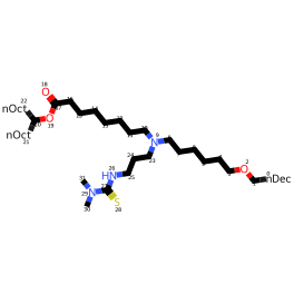 CCCCCCCCCCCOCCCCCCN(CCCCCCCC(=O)OC(CCCCCCCC)CCCCCCCC)CCCNC(=S)N(C)C